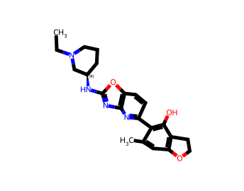 CCN1CCC[C@@H](Nc2nc3nc(-c4c(C)cc5c(c4O)CCO5)ccc3o2)C1